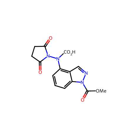 COC(=O)n1ncc2c(N(C(=O)O)N3C(=O)CCC3=O)cccc21